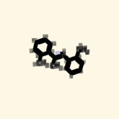 C/C(=N\c1ccccc1N)c1ccccc1C